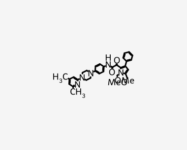 COCc1cc(-c2ccccc2)c(C(=O)C(=O)Nc2ccc(N3CCN(c4cc(C)cc(C)n4)CC3)cc2)n1COC